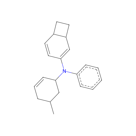 CC1CC=CC(N(C2=CC3CCC3C=C2)c2ccccc2)C1